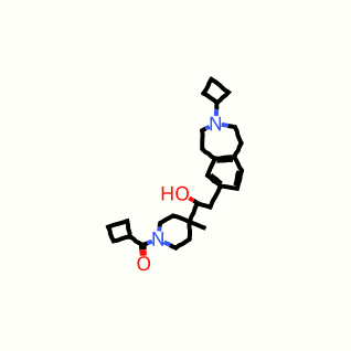 CC1(C(O)Cc2ccc3c(c2)CCN(C2CCC2)CC3)CCN(C(=O)C2CCC2)CC1